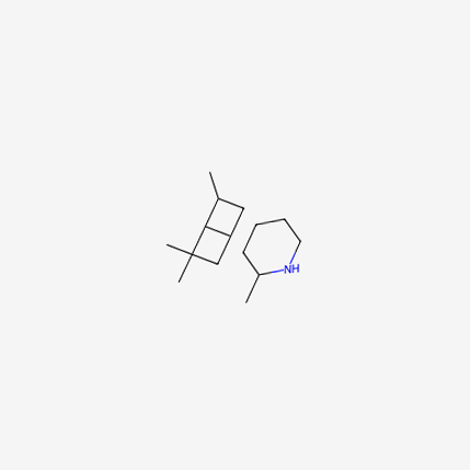 CC1CC2CC(C)(C)C12.CC1CCCCN1